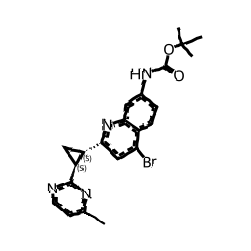 Cc1ccnc([C@H]2C[C@@H]2c2cc(Br)c3ccc(NC(=O)OC(C)(C)C)cc3n2)n1